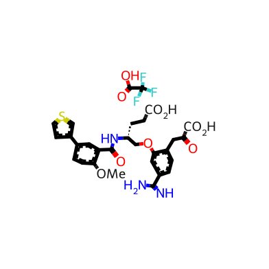 COc1ccc(-c2ccsc2)cc1C(=O)N[C@H](CCC(=O)O)COc1cc(C(=N)N)ccc1CC(=O)C(=O)O.O=C(O)C(F)(F)F